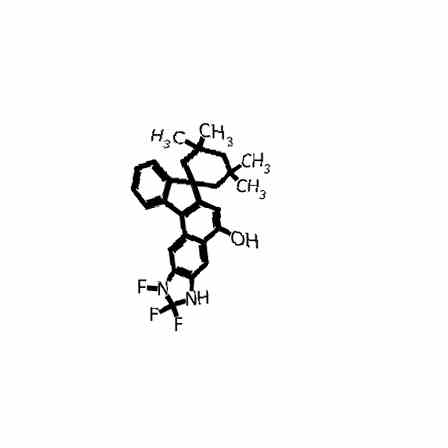 CC1(C)CC(C)(C)CC2(C1)c1ccccc1-c1c2cc(O)c2cc3c(cc12)N(F)C(F)(F)N3